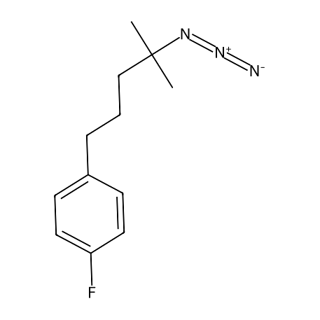 CC(C)(CCCc1ccc(F)cc1)N=[N+]=[N-]